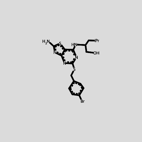 CC(C)CC(CO)Nc1nc(SCc2ccc(Br)cc2)nc2nc(N)sc12